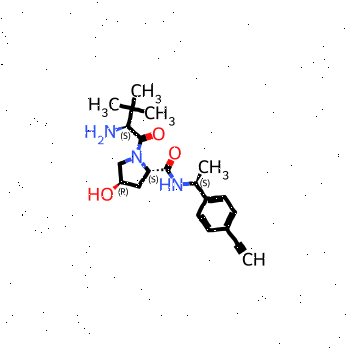 C#Cc1ccc([C@H](C)NC(=O)[C@@H]2C[C@@H](O)CN2C(=O)[C@@H](N)C(C)(C)C)cc1